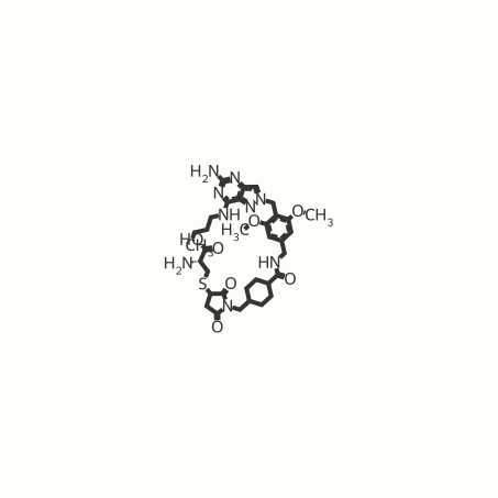 CCCCNc1nc(N)nc2cn(Cc3c(OC)cc(CNC(=O)C4CCC(CN5C(=O)CC(SC[C@H](N)C(=O)O)C5=O)CC4)cc3OC)nc12